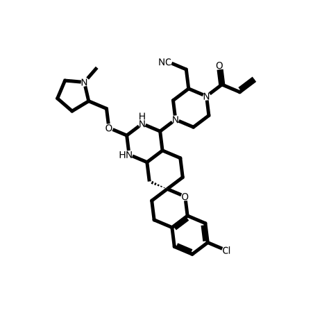 C=CC(=O)N1CCN(C2NC(OCC3CCCN3C)NC3C[C@]4(CCc5ccc(Cl)cc5O4)CCC32)CC1CC#N